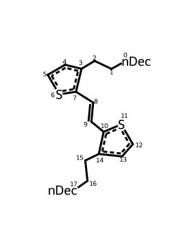 CCCCCCCCCCCCc1ccsc1C=Cc1sccc1CCCCCCCCCCCC